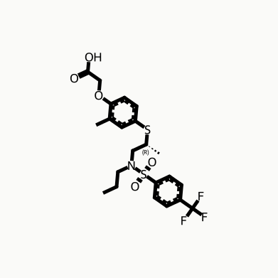 CCCN(C[C@@H](C)Sc1ccc(OCC(=O)O)c(C)c1)S(=O)(=O)c1ccc(C(F)(F)F)cc1